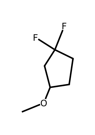 COC1CCC(F)(F)C1